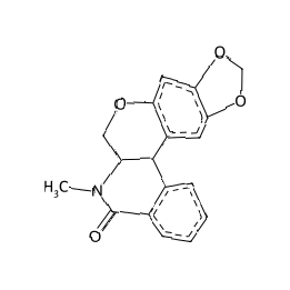 CN1C(=O)c2ccccc2C2c3cc4c(cc3OCC21)OCO4